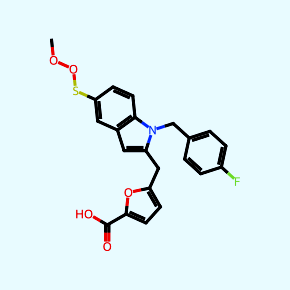 COOSc1ccc2c(c1)cc(Cc1ccc(C(=O)O)o1)n2Cc1ccc(F)cc1